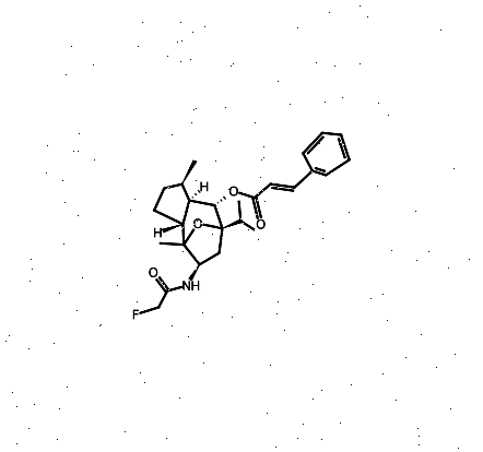 CC(C)[C@@]12C[C@@H](NC(=O)CF)C(C)(O1)[C@@H]1CC[C@@H](C)[C@H]1[C@@H]2OC(=O)/C=C/c1ccccc1